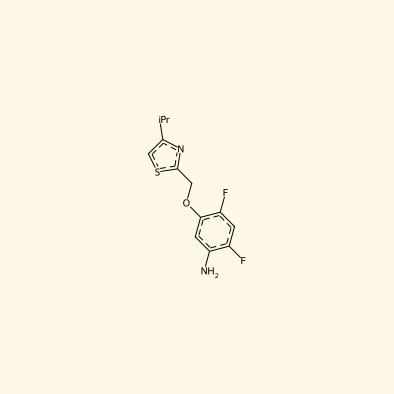 CC(C)c1csc(COc2cc(N)c(F)cc2F)n1